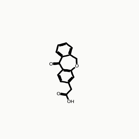 O=C(O)Cc1ccc2c(c1)OCc1ccccc1C2=O